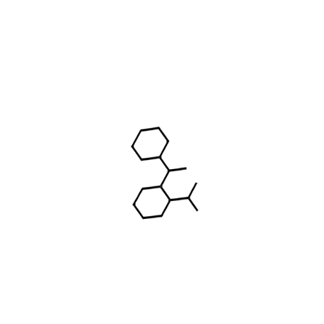 CC(C)C1CCCCC1C(C)C1CCCCC1